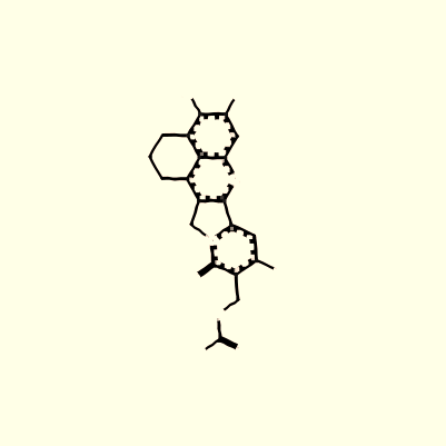 Cc1cc2nc3c(c4c2c(c1C)CCC4)Cn1c-3cc(C)c(COC(=O)O)c1=O